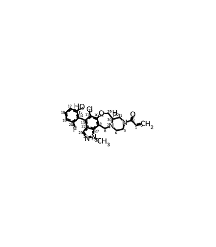 C=CC(=O)N1CCN2Cc3c(c(Cl)c(-c4c(O)cccc4F)c4cnn(C)c34)OC[C@H]2C1